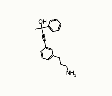 CC(O)(C#Cc1cccc(CCCN)c1)c1ccccc1